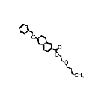 CCCCOCCOC(=O)c1ccc2cc(OCc3ccccc3)ccc2c1